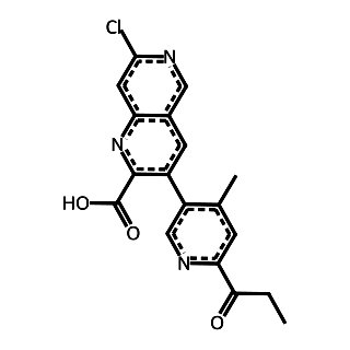 CCC(=O)c1cc(C)c(-c2cc3cnc(Cl)cc3nc2C(=O)O)cn1